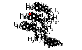 CC(C)=CCC[C@@H](C)[C@H]1CC[C@@]2(C)C3=C(CC[C@]12C)[C@@]1(C)CCC(O)C(C)(C)[C@@H]1CC3.CC(C)=CCC[C@@H](C)[C@H]1CC[C@@]2(C)C3=C(CC[C@]12C)[C@@]1(C)CC[C@H](O)C(C)(C)[C@@H]1CC3.CC(C)=CCC[C@@H](C)[C@H]1CC[C@@]2(C)C3=C(CC[C@]12C)[C@@]1(C)CC[C@H](O)C(C)(C)[C@@H]1CC3.CC(C)CCC[C@@H](C)[C@H]1CC[C@H]2[C@@H]3CC=C4CC(=O)CC[C@]4(C)[C@H]3CC[C@]12C